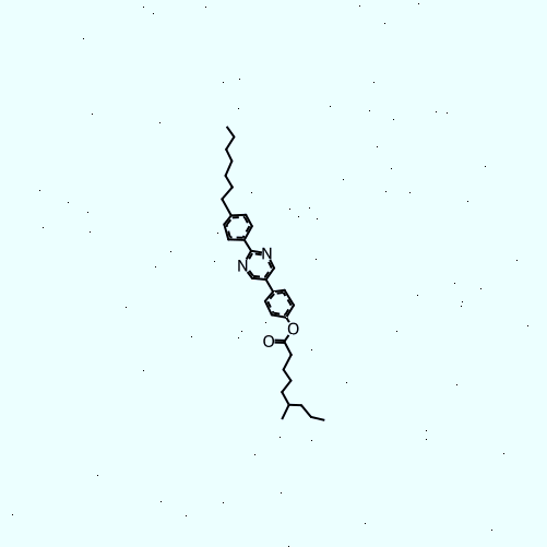 CCCCCCCc1ccc(-c2ncc(-c3ccc(OC(=O)CCCCC(C)CCC)cc3)cn2)cc1